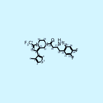 Cc1cscc1-c1nc(C(F)(F)F)n2c1CN(C(=O)C[C@H](N)Cc1cc(F)c(F)cc1F)CC2